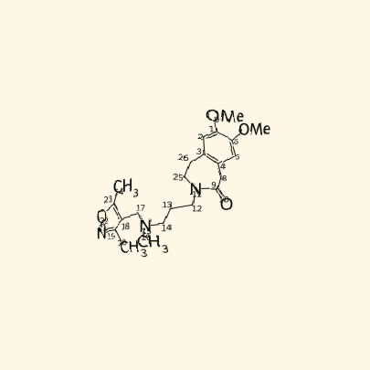 COc1cc2c(cc1OC)CC(=O)N(CCCN(C)Cc1c(C)noc1C)CC2